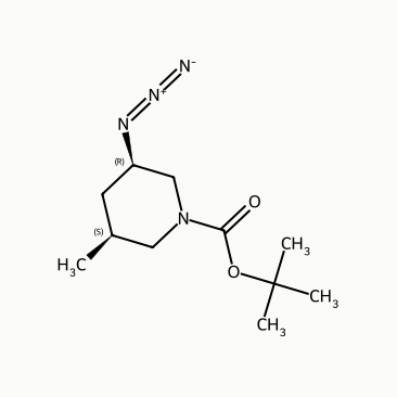 C[C@H]1C[C@@H](N=[N+]=[N-])CN(C(=O)OC(C)(C)C)C1